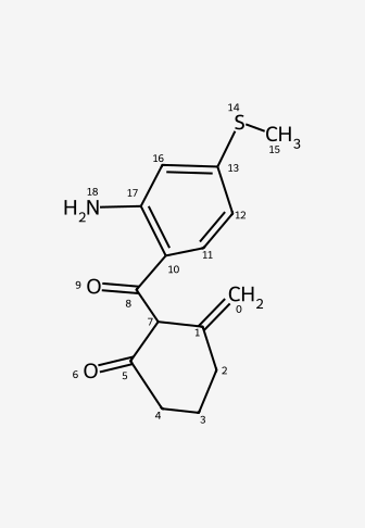 C=C1CCCC(=O)C1C(=O)c1ccc(SC)cc1N